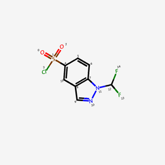 O=S(=O)(Cl)c1ccc2c(cnn2C(F)F)c1